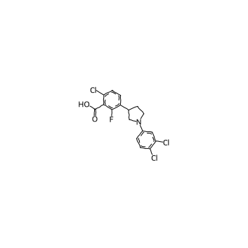 O=C(O)c1c(Cl)ccc(C2CCN(c3ccc(Cl)c(Cl)c3)C2)c1F